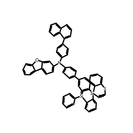 c1ccc([SiH]2c3ccccc3[Si]3(c4ccccc4Sc4ccccc43)c3ccc(-c4ccc(N(c5ccc(-c6cccc7ccccc67)cc5)c5ccc6c(c5)oc5ccccc56)cc4)cc32)cc1